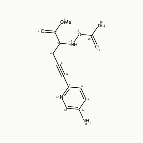 COC(=O)C(CC#Cc1ccc(N)cn1)NOC(=O)C(C)(C)C